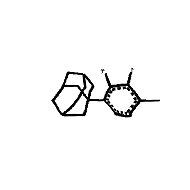 Cc1ccc(C23CC4CC(CC(C4)C2)C3)c(F)c1F